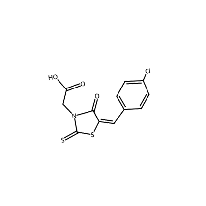 O=C(O)CN1C(=O)/C(=C\c2ccc(Cl)cc2)SC1=S